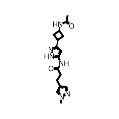 CC(=O)N[C@H]1C[C@@H](c2cc(NC(=O)CCc3cnn(C)c3)[nH]n2)C1